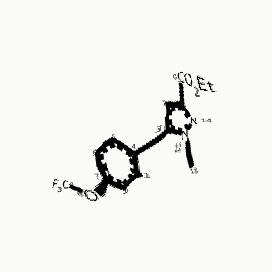 CCOC(=O)c1cc(-c2ccc(OC(F)(F)F)cc2)n(C)n1